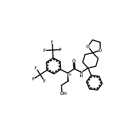 O=C(NC1(c2ccccc2)CCC2(CC1)OCCO2)[C@@H](CCO)c1cc(C(F)(F)F)cc(C(F)(F)F)c1